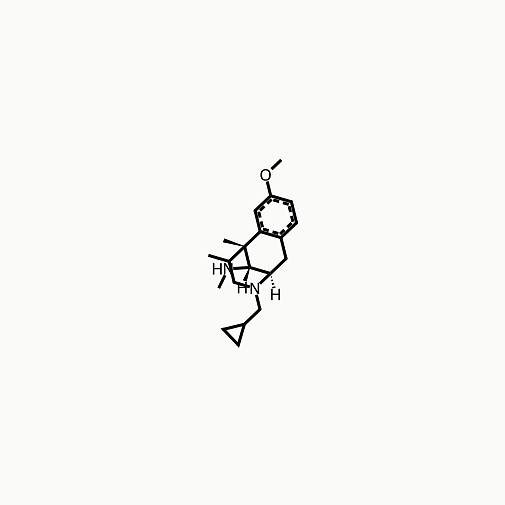 CN[C@H]1[C@H]2Cc3ccc(OC)cc3[C@@]1(C)C(C)CN2CC1CC1